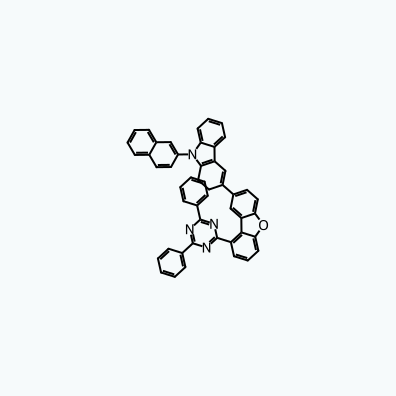 C1=C(c2ccc3oc4cccc(-c5nc(-c6ccccc6)nc(-c6ccccc6)n5)c4c3c2)CCc2c1c1ccccc1n2-c1ccc2ccccc2c1